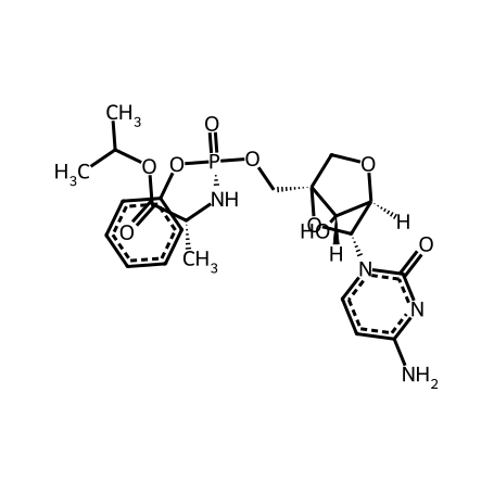 CC(C)OC(=O)[C@@H](C)N[P@](=O)(OC[C@@]12CO[C@@H]([C@H](n3ccc(N)nc3=O)O1)[C@@H]2O)Oc1ccccc1